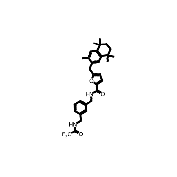 Cc1cc2c(cc1Cc1ccc(C(=O)NCc3cccc(CNC(=O)C(F)(F)F)c3)o1)C(C)(C)CCC2(C)C